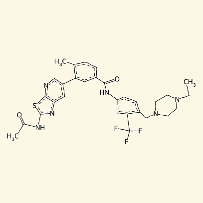 CCN1CCN(Cc2ccc(NC(=O)c3ccc(C)c(-c4cnc5sc(NC(C)=O)nc5c4)c3)cc2C(F)(F)F)CC1